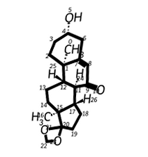 C[C@]12CC[C@H](O)CC1=CC(=O)[C@@H]1[C@@H]2CC[C@@]2(C)[C@H]1CCC21OCO1